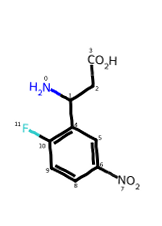 NC(CC(=O)O)c1cc([N+](=O)[O-])ccc1F